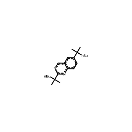 CCCCC(C)(C)c1ccc2nc(C(C)(C)CCCC)ncc2c1